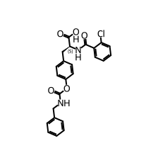 O=C(NCc1ccccc1)Oc1ccc(C[C@H](NC(=O)c2ccccc2Cl)C(=O)O)cc1